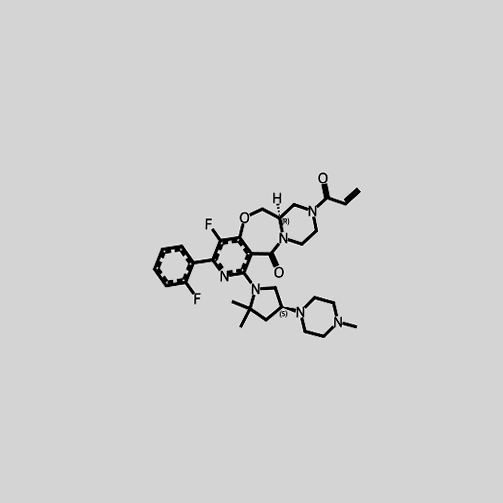 C=CC(=O)N1CCN2C(=O)c3c(N4C[C@@H](N5CCN(C)CC5)CC4(C)C)nc(-c4ccccc4F)c(F)c3OC[C@H]2C1